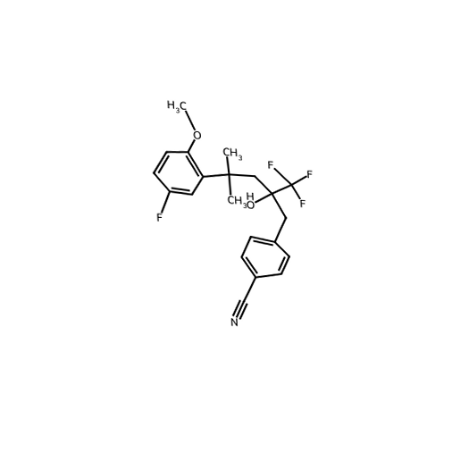 COc1ccc(F)cc1C(C)(C)CC(O)(Cc1ccc(C#N)cc1)C(F)(F)F